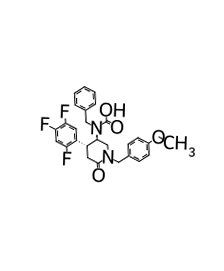 COc1ccc(CN2C[C@H](N(Cc3ccccc3)C(=O)O)[C@@H](c3cc(F)c(F)cc3F)CC2=O)cc1